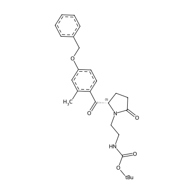 Cc1cc(OCc2ccccc2)ccc1C(=O)[C@@H]1CCC(=O)N1CCNC(=O)OC(C)(C)C